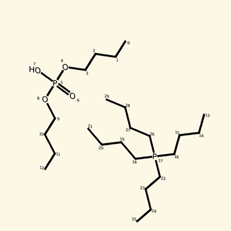 CCCCOP(=O)(O)OCCCC.CCCC[P](CCCC)(CCCC)CCCC